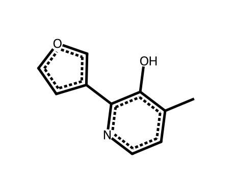 Cc1ccnc(-c2ccoc2)c1O